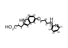 O=C(O)CCc1cc2cc(OCCCNc3ccccn3)ccc2[nH]1